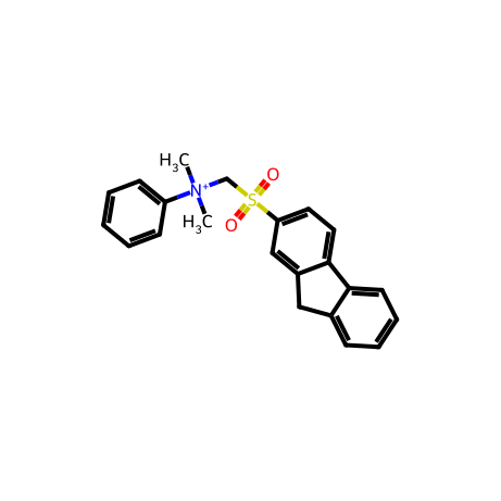 C[N+](C)(CS(=O)(=O)c1ccc2c(c1)Cc1ccccc1-2)c1ccccc1